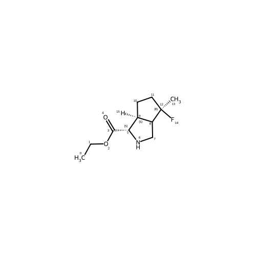 CCOC(=O)[C@H]1NCC2[C@@H]1CC[C@@]2(C)F